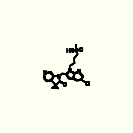 CS(=N)(=O)CCCCn1c(CN2C(=O)C3(CC3)c3ccncc32)cc2cc(Cl)cnc21